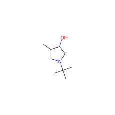 CC1CN(C(C)(C)C)CC1O